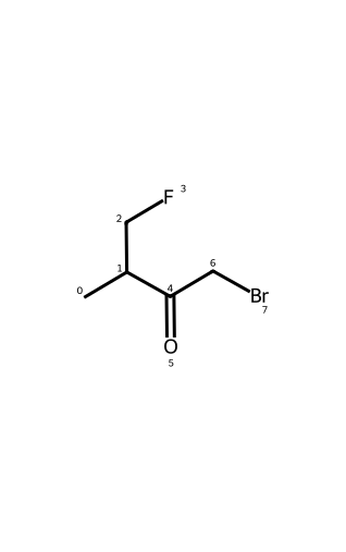 CC(CF)C(=O)CBr